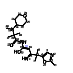 Cc1ncc(C(C)(C)C(=N)/C=C(\O)NC(=O)C(C)(C)N(C)C2CCOCC2)o1